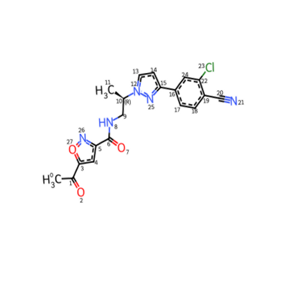 CC(=O)c1cc(C(=O)NC[C@@H](C)n2ccc(-c3ccc(C#N)c(Cl)c3)n2)no1